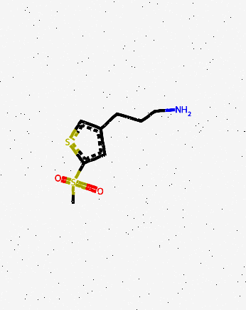 CS(=O)(=O)c1cc(CCCN)cs1